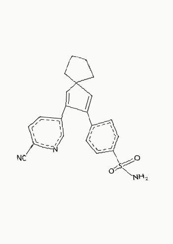 N#Cc1ccc(C2=CC3(C=C2c2ccc(S(N)(=O)=O)cc2)CCCC3)cn1